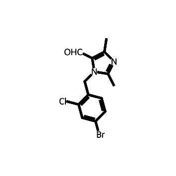 Cc1nc(C)n(Cc2ccc(Br)cc2Cl)c1C=O